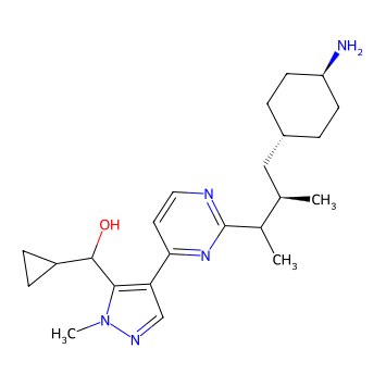 CC(c1nccc(-c2cnn(C)c2C(O)C2CC2)n1)[C@H](C)C[C@H]1CC[C@H](N)CC1